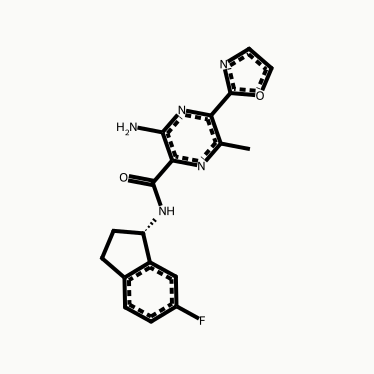 Cc1nc(C(=O)N[C@H]2CCc3ccc(F)cc32)c(N)nc1-c1ncco1